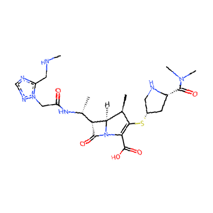 CNCc1ncnn1CC(=O)N[C@H](C)[C@H]1C(=O)N2C(C(=O)O)=C(S[C@@H]3CN[C@H](C(=O)N(C)C)C3)[C@H](C)[C@H]12